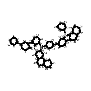 c1ccc(-c2ccc3oc4c(N(c5ccc(-c6ccc7c8ccc9ccccc9c8n(-c8ccccc8)c7c6)cc5)c5ccc6ccc7ccccc7c6c5)cccc4c3c2)cc1